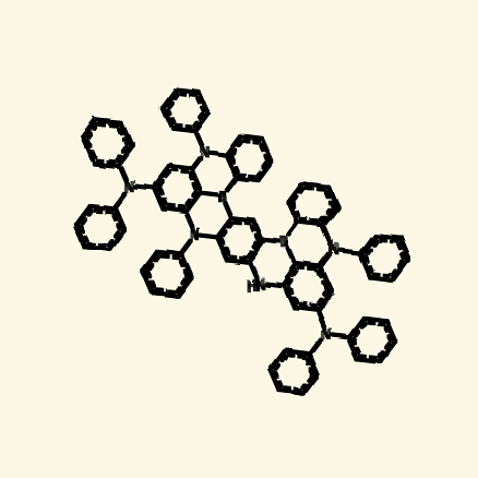 c1ccc(N(c2ccccc2)c2cc3c4c(c2)N(c2ccccc2)c2ccccc2B4c2cc4c(cc2N3)N(c2ccccc2)c2cc(N(c3ccccc3)c3ccccc3)cc3c2B4c2ccccc2N3c2ccccc2)cc1